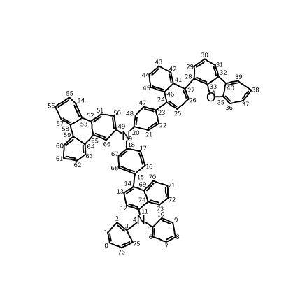 c1ccc(N(c2ccccc2)c2ccc(-c3ccc(N(c4ccc(-c5ccc(-c6cccc7c6oc6ccccc67)c6ccccc56)cc4)c4ccc5c6ccccc6c6ccccc6c5c4)cc3)c3ccccc23)cc1